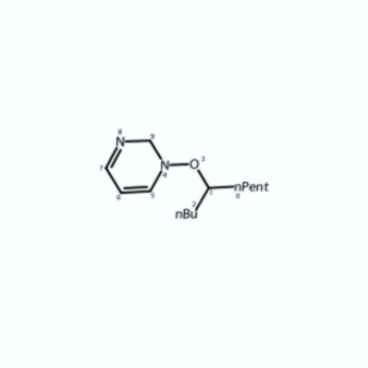 CCCCCC(CCCC)ON1C=CC=NC1